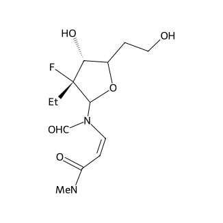 CC[C@]1(F)C(N(C=O)/C=C\C(=O)NC)OC(CCO)[C@H]1O